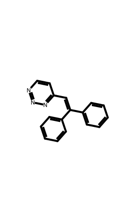 C(=C(c1ccccc1)c1ccccc1)c1ccnnn1